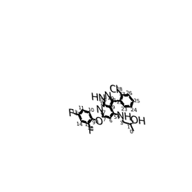 CC(O)CNc1cc(Oc2ccc(F)cc2F)nc2[nH]nc(-c3ccccc3Cl)c12